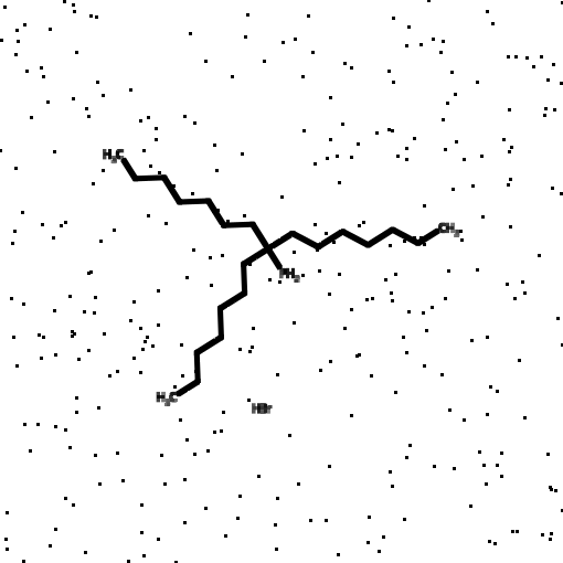 Br.CCCCCCCC(P)(CCCCCCC)CCCCCCC